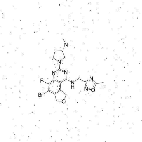 Cc1nc(CNc2nc(N3CC[C@H](N(C)C)C3)nc3c(F)c(Br)c4c(c23)COC4)no1